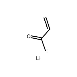 [C]C(=O)C=C.[Li]